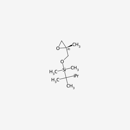 CC(C)C(C)(C)[Si](C)(C)OC[C@@]1(C)CO1